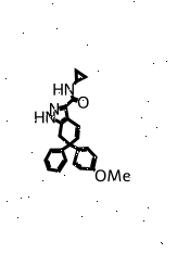 COc1ccc(C2(c3ccccc3)C=Cc3c(C(=O)NC4CC4)n[nH]c3C2)cc1